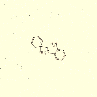 Nc1ccccc1C=CC1(N)C=CC=CC1